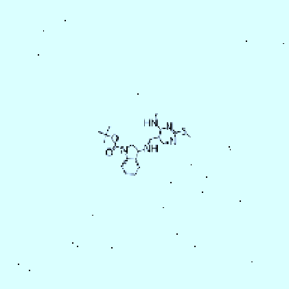 CNc1nc(SC)ncc1CNC1CN(C(=O)OC(C)(C)C)c2ccccc21